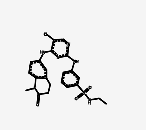 CCNS(=O)(=O)c1cccc(Nc2ncc(Cl)c(Nc3ccc4c(c3)CCC(=O)N4C)n2)c1